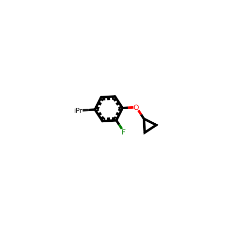 CC(C)c1ccc(OC2CC2)c(F)c1